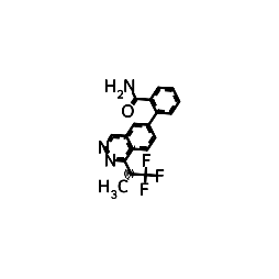 C[C@H](c1nncc2cc(-c3ccccc3C(N)=O)ccc12)C(F)(F)F